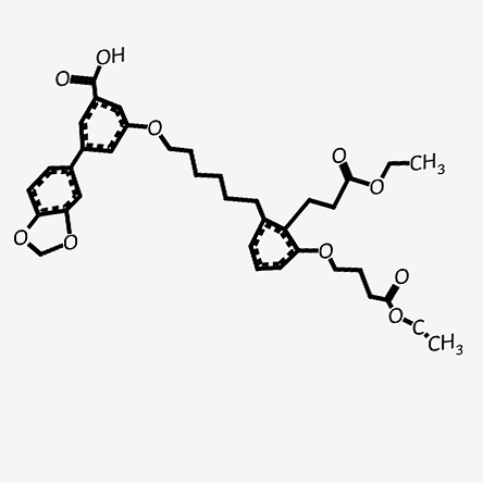 CCOC(=O)CCCOc1cccc(CCCCCCOc2cc(C(=O)O)cc(-c3ccc4c(c3)OCO4)c2)c1CCC(=O)OCC